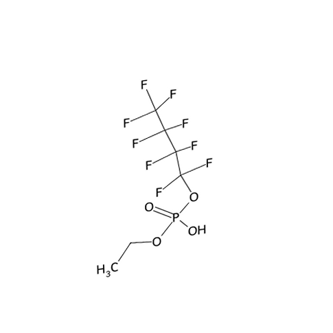 CCOP(=O)(O)OC(F)(F)C(F)(F)C(F)(F)C(F)(F)F